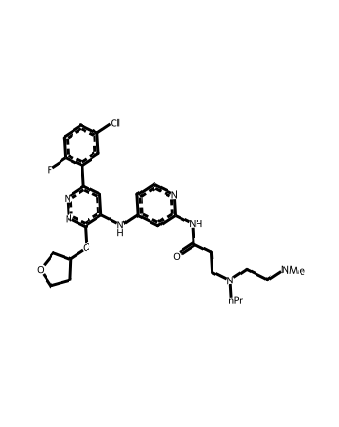 CCCN(CCNC)CCC(=O)Nc1cc(Nc2cc(-c3cc(Cl)ccc3F)nnc2OC2CCOC2)ccn1